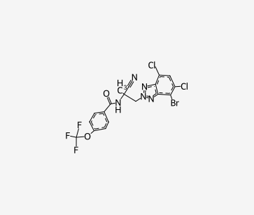 CC(C#N)(Cn1nc2c(Cl)cc(Cl)c(Br)c2n1)NC(=O)c1ccc(OC(F)(F)F)cc1